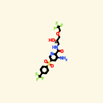 Nc1cc(S(=O)(=O)c2ccc(C(F)(F)F)cc2)cnc1C(=O)NC[C@H](O)COCC(F)(F)F